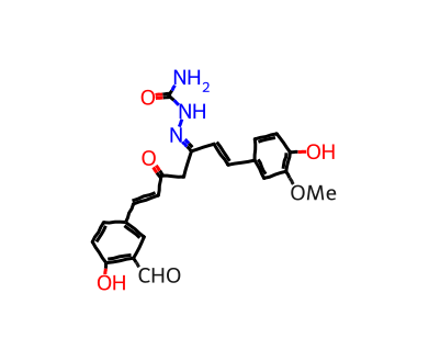 COc1cc(/C=C/C(CC(=O)/C=C/c2ccc(O)c(C=O)c2)=N\NC(N)=O)ccc1O